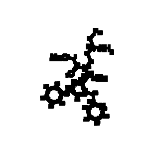 COCC(=O)N(CC[C@H](N)CF)[C@@H](c1nc(-c2ccccc2)cn1Cc1ccccn1)C(C)(C)C